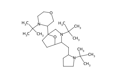 CC(C)(C)N1CCCC1CC1C2CCC(C3COCCN3C(C)(C)C)(CN1C(C)(C)C)O2